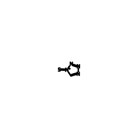 S=[N+]1C=NN=N1